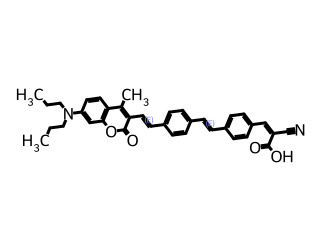 CCCN(CCC)c1ccc2c(C)c(/C=C/c3ccc(/C=C/c4ccc(C=C(C#N)C(=O)O)cc4)cc3)c(=O)oc2c1